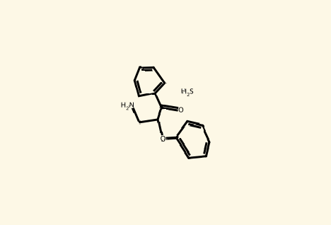 NCC(Oc1ccccc1)C(=O)c1ccccc1.S